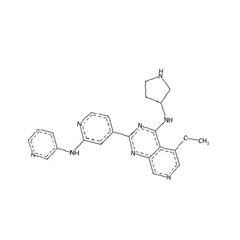 COc1cncc2nc(-c3ccnc(Nc4cccnc4)c3)nc(NC3CCNC3)c12